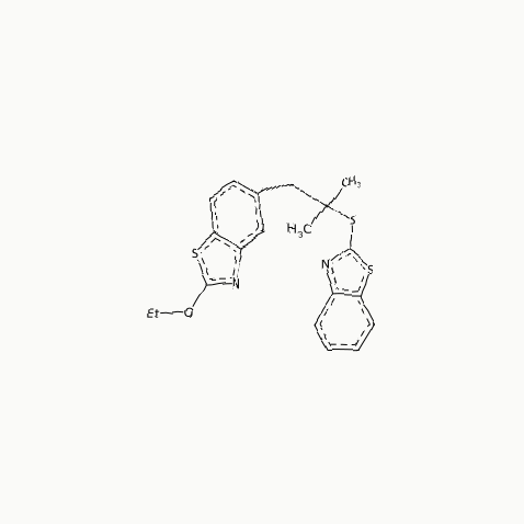 CCOc1nc2cc(CC(C)(C)Sc3nc4ccccc4s3)ccc2s1